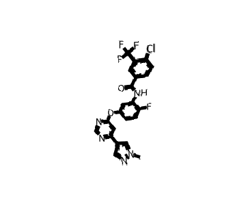 Cn1cc(-c2cc(Oc3ccc(F)c(NC(=O)c4ccc(Cl)c(C(F)(F)F)c4)c3)ncn2)cn1